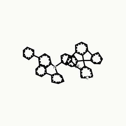 FC(F)(F)c1cc(N(c2ccc(-c3ccccc3)cc2)c2ccccc2-c2ccccc2)ccc1-c1cccc2c1C1(c3ccccc3-c3ccccc31)c1ccccc1-2